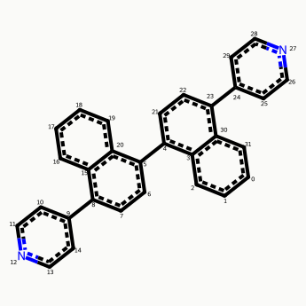 c1ccc2c(-c3ccc(-c4ccncc4)c4ccccc34)ccc(-c3ccncc3)c2c1